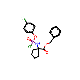 O=C(OCc1ccccc1)C1(NP(=O)(Cl)Oc2ccc(Cl)cc2)CCCC1